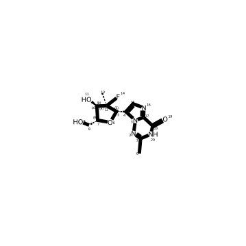 Cc1nn2c([C@@H]3O[C@H](CO)[C@@H](O)[C@@]3(C)F)cnc2c(=O)[nH]1